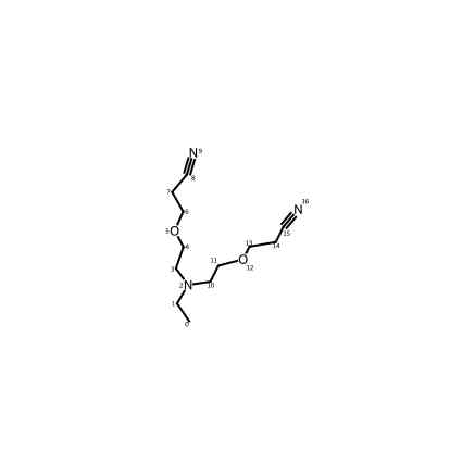 CCN(CCOCCC#N)CCOCCC#N